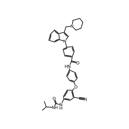 CC(C)NC(=O)Nc1ccc(Oc2ccc(NC(=O)c3ccc(-n4cc(CN5CCCCC5)c5ccccc54)cc3)cc2)c(C#N)c1